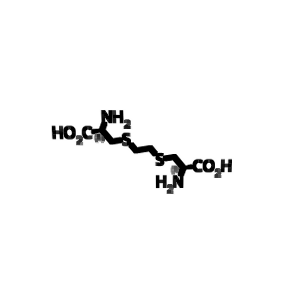 N[C@@H](CSCCSC[C@H](N)C(=O)O)C(=O)O